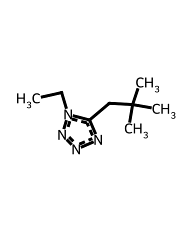 CCn1nnnc1CC(C)(C)C